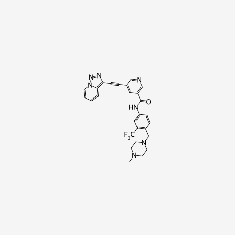 CN1CCN(Cc2ccc(NC(=O)c3cncc(C#Cc4nnn5ccccc45)c3)cc2C(F)(F)F)CC1